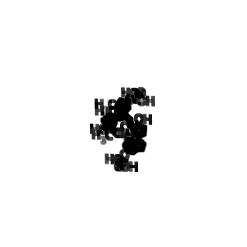 Cc1cc(OCP(=O)(O)O)cc2c1[C@](C)(c1ccc(O)c(C(C)C)c1)CC2CC(C)c1cc([C@@H]2CCc3cc(OCP(=O)(O)O)cc(Cl)c32)ccc1O